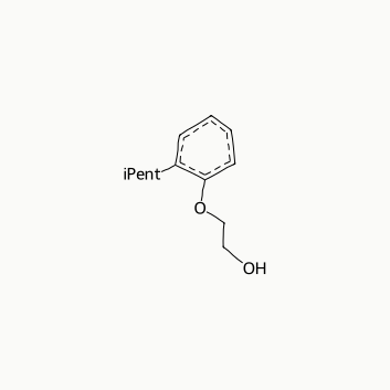 CCCC(C)c1ccccc1OCCO